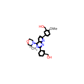 COc1ccc(-c2ccc3c(N4CCOC[C@@H]4C)nc(-c4cccc(CO)c4)nc3n2)cc1CO